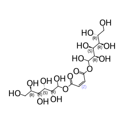 O=C(/C=C\C(=O)OC(O)[C@H](O)[C@@H](O)[C@H](O)[C@H](O)CO)OC(O)[C@H](O)[C@@H](O)[C@H](O)[C@H](O)CO